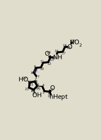 CCCCCCCC(=O)CC[C@@H]1[C@@H](C/C=C\CCCC(=O)NCCCO[N+](=O)[O-])[C@@H](O)C[C@H]1O